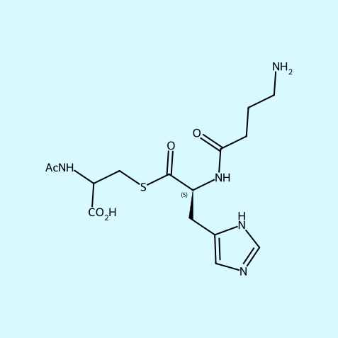 CC(=O)NC(CSC(=O)[C@H](Cc1cnc[nH]1)NC(=O)CCCN)C(=O)O